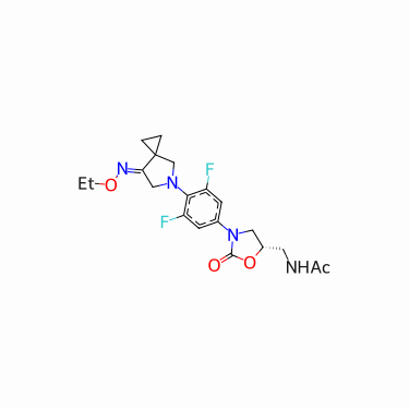 CCON=C1CN(c2c(F)cc(N3C[C@H](CNC(C)=O)OC3=O)cc2F)CC12CC2